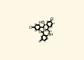 O=C1c2cc(I)ccc2NCC(c2ccc(Cl)cc2)N1C(CO)c1ccc(Cl)cc1